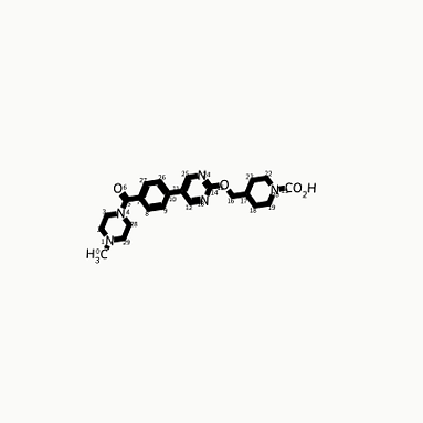 CN1CCN(C(=O)c2ccc(-c3cnc(OCC4CCN(C(=O)O)CC4)nc3)cc2)CC1